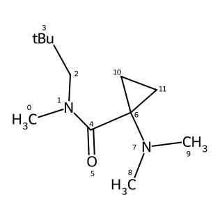 CN(CC(C)(C)C)C(=O)C1(N(C)C)CC1